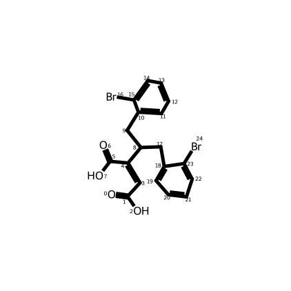 O=C(O)/C=C(\C(=O)O)C(Cc1ccccc1Br)Cc1ccccc1Br